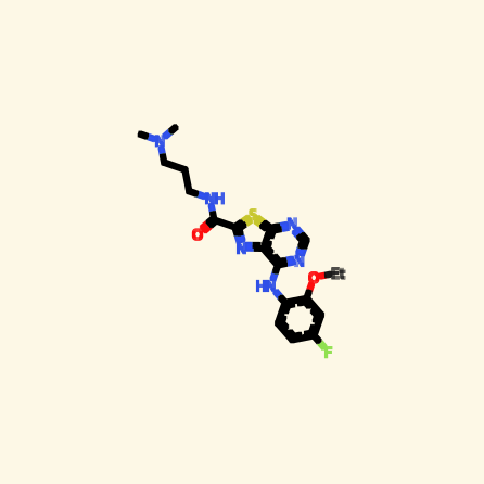 CCOc1cc(F)ccc1Nc1ncnc2sc(C(=O)NCCCN(C)C)nc12